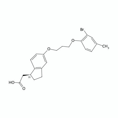 Cc1ccc(OCCCOc2ccc3c(c2)CC[C@H]3CC(=O)O)c(Br)c1